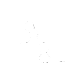 Cc1c(OCC(F)(F)F)ccnc1C[S+]([O-])c1nc2ccccc2n1CCO